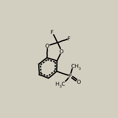 CP(C)(=O)c1cc[c]c2c1OC(F)(F)O2